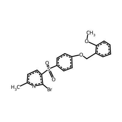 COc1ccccc1COc1ccc(S(=O)(=O)c2ccc(C)nc2Br)cc1